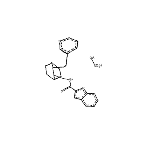 O=C(NC1C2CCN(CC2)C1Cc1cccnc1)c1cc2ccccc2o1.O=S(=O)(O)O